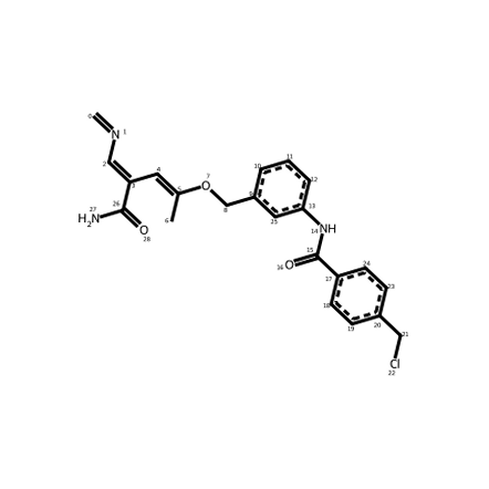 C=N/C=C(\C=C(/C)OCc1cccc(NC(=O)c2ccc(CCl)cc2)c1)C(N)=O